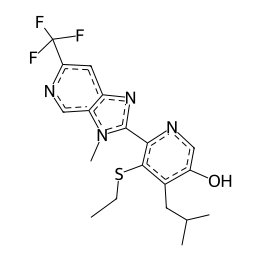 CCSc1c(-c2nc3cc(C(F)(F)F)ncc3n2C)ncc(O)c1CC(C)C